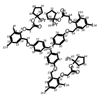 CC(C)C1(OC(=O)COc2c(I)cc(I)cc2COc2ccc([S+](c3ccc(OCc4cc(I)cc(I)c4OCC(=O)OC4(C(C)C)CCCC4)cc3)c3ccc(OCc4cc(I)cc(I)c4OCC(=O)OC4(C(C)C)CCCC4)cc3)cc2)CCCC1